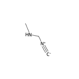 [C-]#[N+]CNC